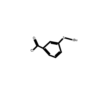 CC(C)(C)Sc1cccc(C(=O)Cl)c1